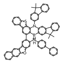 CC1(C)c2ccccc2-c2cc(N3c4cc5c(cc4Bc4c(-c6cc7c(cc6Nc6ccc(-c8ccccc8)cc6)oc6cc8ccccc8cc67)cc6c(sc7ccccc76)c43)C(C)(C)c3ccccc3-5)ccc21